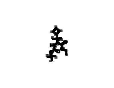 CCOC(=O)C(NC(=O)OC(C)(C)C)C(C)(C)C1CCC1